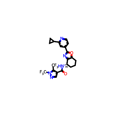 O=C(N[C@H]1CCCc2oc(-c3ccnc(C4CC4)c3)nc21)c1cnn(C(F)(F)F)c1C(F)(F)F